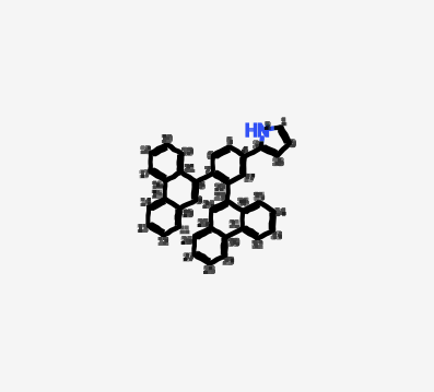 c1c[nH]c(-c2ccc(-c3cc4ccccc4c4ccccc34)c(-c3cc4ccccc4c4ccccc34)c2)c1